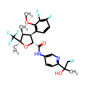 COc1c([C@H]2[C@H](C(=O)Nc3ccc(C(C)(O)CF)nc3)O[C@@](C)(C(F)(F)F)[C@H]2C)ccc(F)c1F